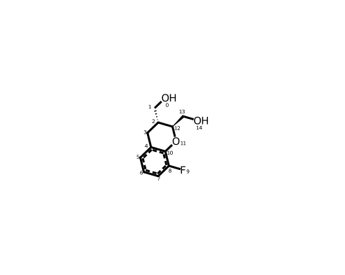 OC[C@H]1Cc2cccc(F)c2O[C@@H]1CO